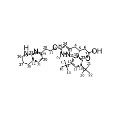 Cn1nc(CC(CC(=O)O)c2cc(C(C)(C)C)cc(C(C)(C)C)c2)cc1OCCc1ccc2c(n1)NCCC2